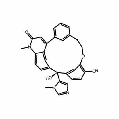 Cn1cncc1[C@@]1(O)c2ccc(C#N)c(c2)OCCc2cccc(c2)-c2cc(=O)n(C)c3ccc1cc23